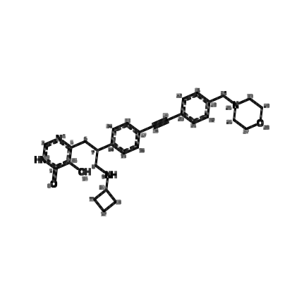 O=c1[nH]cnc(CC(CNC2CCC2)c2ccc(C#Cc3ccc(CN4CCOCC4)cc3)cc2)c1O